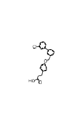 O=C(O)CCc1ccc(OCc2cccc(-c3cccc(Cl)c3)c2)cc1